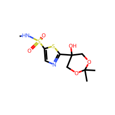 CNS(=O)(=O)c1cnc(C2(O)COC(C)(C)OC2)s1